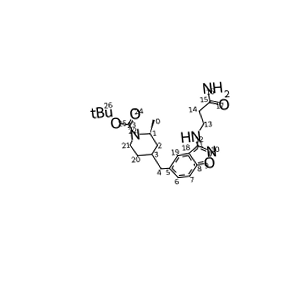 C[C@H]1CC(Cc2ccc3onc(NCCC(N)=O)c3c2)CCN1C(=O)OC(C)(C)C